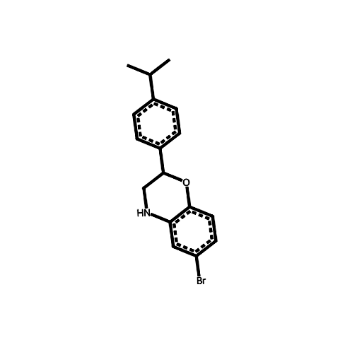 CC(C)c1ccc(C2CNc3cc(Br)ccc3O2)cc1